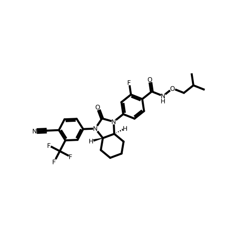 CC(C)CONC(=O)c1ccc(N2C(=O)N(c3ccc(C#N)c(C(F)(F)F)c3)[C@H]3CCCC[C@@H]32)cc1F